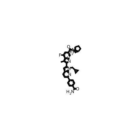 Cc1c(-c2cc3ccc(-c4ccc(C(N)=O)cc4)nc3n2CC2CC2)nn2cc(C(=O)N3CC4CCC3[C@@H]4N)cc(F)c12